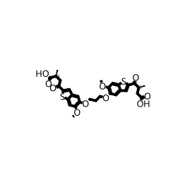 COc1cc2sc(C(=O)C[C@H](C)C(=O)O)cc2cc1OCCCOc1cc2cc(C(=O)[C@@H](C)CC(=O)O)sc2cc1OC